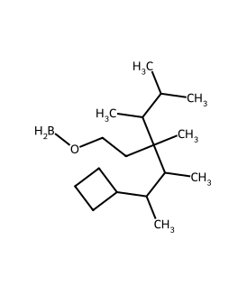 BOCCC(C)(C(C)C(C)C)C(C)C(C)C1CCC1